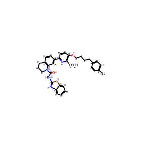 CCc1ccc(CCCCOc2ccc(-c3ccc4c(c3)N(C(=O)Nc3nc5ccccc5s3)CCC4)nc2C(=O)O)cc1